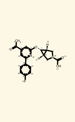 CC(=O)c1cc(O[C@@H]2[C@@H]3CN(C(=O)O)C[C@@H]32)nc(-c2ccc(F)cc2)c1